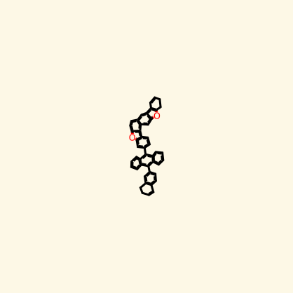 C1=Cc2ccc(-c3c4ccccc4c(-c4ccc5c(c4)oc4ccc6cc7c8c(oc7cc6c45)CCC=C8)c4ccccc34)cc2CC1